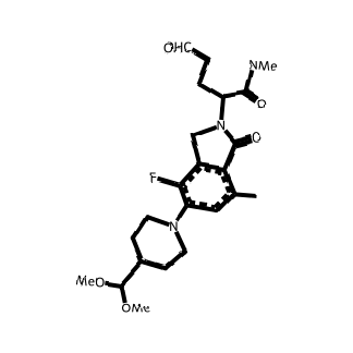 CNC(=O)C(CCC=O)N1Cc2c(F)c(N3CCC(C(OC)OC)CC3)cc(C)c2C1=O